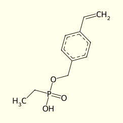 C=Cc1ccc(COP(=O)(O)CC)cc1